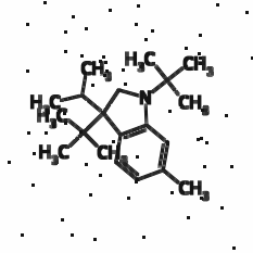 Cc1ccc2c(c1)N(C(C)(C)C)CC2(C(C)C)C(C)(C)C